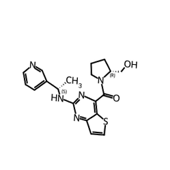 C[C@H](Nc1nc(C(=O)N2CCC[C@@H]2CO)c2sccc2n1)c1cccnc1